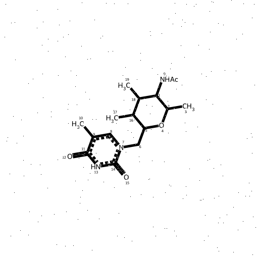 CC(=O)NC1C(C)OC(Cn2cc(C)c(=O)[nH]c2=O)C(C)C1C